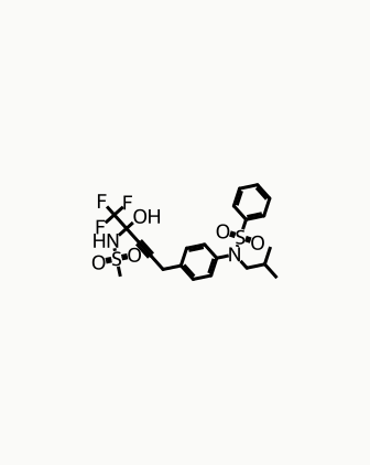 CC(C)CN(c1ccc(CC#CC(O)(NS(C)(=O)=O)C(F)(F)F)cc1)S(=O)(=O)c1ccccc1